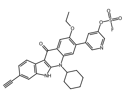 C#Cc1ccc2c(c1)[nH]c1c2c(=O)c2cc(OCC)c(-c3cncc(OS(=O)(=O)F)c3)cc2n1C1CCCCC1